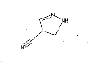 N#CC1[CH]NN=C1